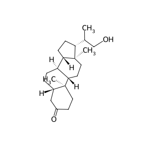 CC(CO)[C@H]1CC[C@H]2[C@@H]3CC[C@H]4CC(=O)CC[C@]4(C)[C@H]3CC[C@]12C